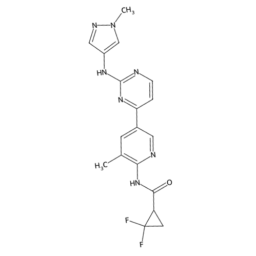 Cc1cc(-c2ccnc(Nc3cnn(C)c3)n2)cnc1NC(=O)C1CC1(F)F